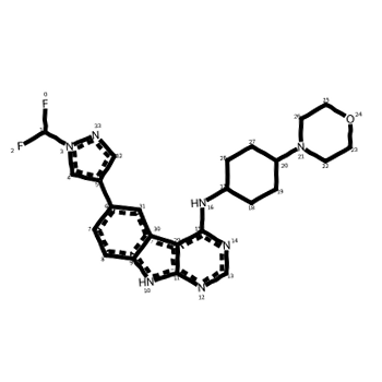 FC(F)n1cc(-c2ccc3[nH]c4ncnc(NC5CCC(N6CCOCC6)CC5)c4c3c2)cn1